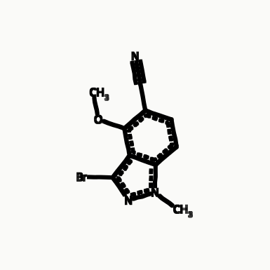 COc1c(C#N)ccc2c1c(Br)nn2C